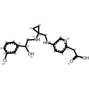 O=C(O)Cc1ccc(NCC2(NCC(O)c3cccc(Cl)c3)CC2)cn1